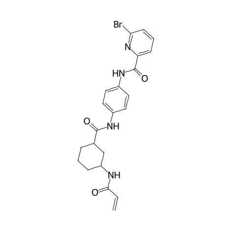 C=CC(=O)NC1CCCC(C(=O)Nc2ccc(NC(=O)c3cccc(Br)n3)cc2)C1